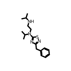 CC(C)NCCN(c1nc(Cc2ccccc2)ns1)C(C)C